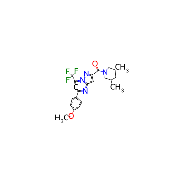 COc1ccc(-c2cc(C(F)(F)F)n3nc(C(=O)N4CC(C)CC(C)C4)cc3n2)cc1